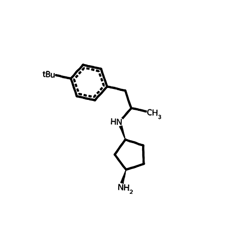 CC(Cc1ccc(C(C)(C)C)cc1)N[C@H]1CC[C@@H](N)C1